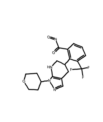 O=NC(=O)c1cccc(C(F)(F)F)c1C1CNc2c(cnn2C2CCOCC2)C1